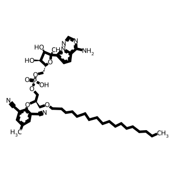 CCCCCCCCCCCCCCCCCCOC[C@H](COP(=O)(O)OC[C@H]1O[C@@](C)(c2ccc3c(N)ncnn23)[C@H](O)[C@@H]1O)Oc1c(C#N)cc(C)cc1C#N